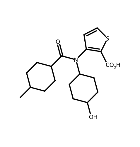 CC1CCC(C(=O)N(c2ccsc2C(=O)O)C2CCC(O)CC2)CC1